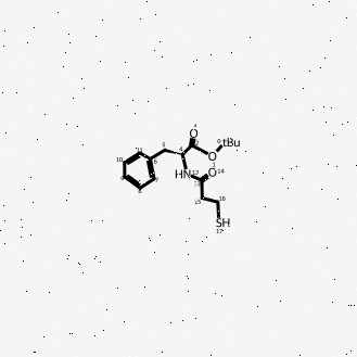 CC(C)(C)OC(=O)[C@H](Cc1ccccc1)NC(=O)CCS